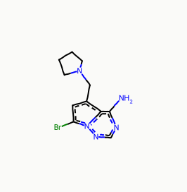 Nc1ncnn2c(Br)cc(CN3CCCC3)c12